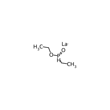 CCO[PH](=O)CC.[La]